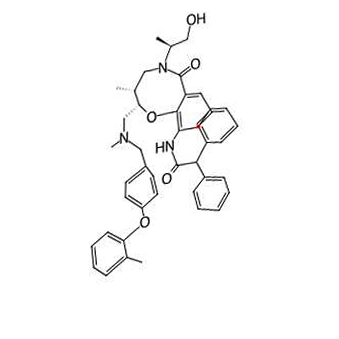 Cc1ccccc1Oc1ccc(CN(C)C[C@H]2Oc3c(NC(=O)C(c4ccccc4)c4ccccc4)cccc3C(=O)N([C@@H](C)CO)C[C@H]2C)cc1